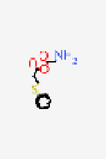 NCC(=O)OC(=O)CCSc1ccccc1